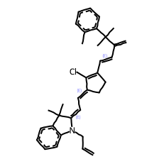 C=CCN1/C(=C/C=C2\CCC(/C=C/C(=C)C(C)(C)c3ccccc3C)=C2Cl)C(C)(C)c2ccccc21